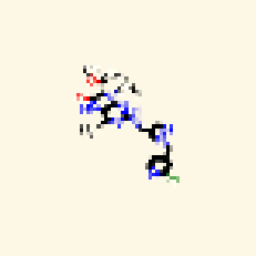 C=C(OC)[C@H]1C(=O)Nc2c(C)nc(NCc3cnn(Cc4ccnc(Cl)c4)c3)nc2N1C